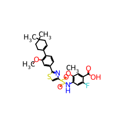 COc1cc(C(=O)O)c(F)cc1NS(=O)(=O)c1csc(-c2ccc(C3=CCC(C)(C)CC3)c(OC)c2)n1